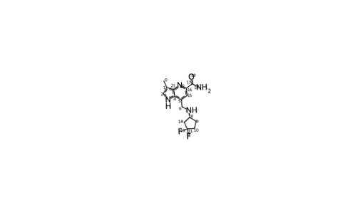 Cc1c[nH]c2c(CN[C@H]3CCC(F)(F)C3)cc(C(N)=O)nc12